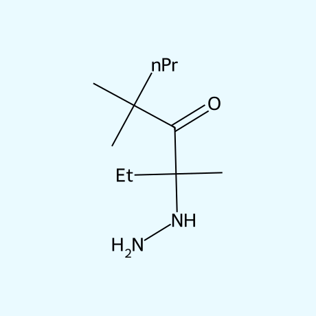 CCCC(C)(C)C(=O)C(C)(CC)NN